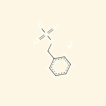 O=S(=O)([O-])OCc1ccccc1.[K+]